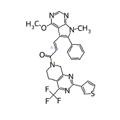 COc1ncnc2c1c(/C=C/C(=O)N1CCc3c(nc(-c4ccsc4)nc3C(F)(F)F)C1)c(-c1ccccc1)n2C